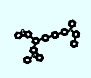 c1ccc(-c2cccc(N(c3ccccc3)c3ccc(-c4ccc(-c5ccc(-c6cc(-c7ccc8oc9ccccc9c8c7)cc(-c7ccc8c(c7)c7ccccc7n8-c7ccccc7)c6)cc5)cc4)cc3)c2)cc1